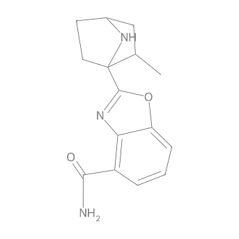 CC1CC2CCC1(c1nc3c(C(N)=O)cccc3o1)N2